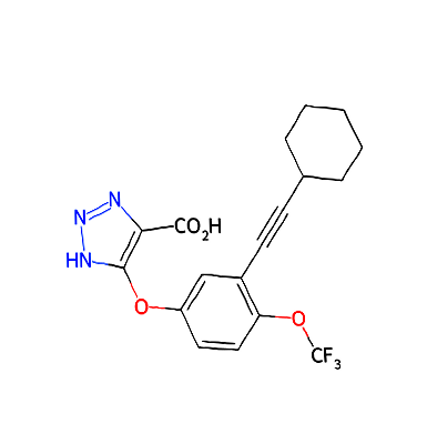 O=C(O)c1nn[nH]c1Oc1ccc(OC(F)(F)F)c(C#CC2CCCCC2)c1